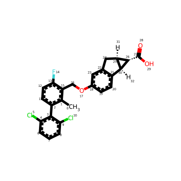 Cc1c(-c2c(Cl)cccc2Cl)ccc(F)c1COc1ccc2c(c1)C[C@H]1[C@H](C(=O)O)[C@@H]21